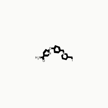 NC(=O)c1ccc(Oc2ccc(CN3CCCC(CI)C3)cc2)nc1